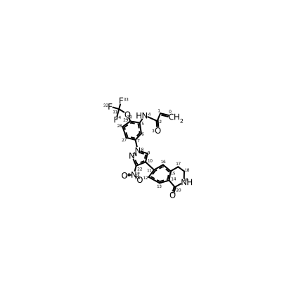 C=CC(=O)Nc1cc(-n2cc(-c3ccc4c(c3)CCNC4=O)c([N+](=O)[O-])n2)ccc1OC(F)(F)F